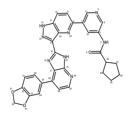 O=C(Nc1cncc(-c2ccc3[nH]nc(-c4nc5c(-c6ccc7c(c6)OCO7)ccnc5[nH]4)c3n2)c1)C1CCCC1